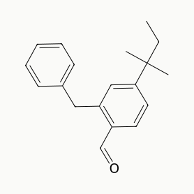 CCC(C)(C)c1ccc(C=O)c(Cc2ccccc2)c1